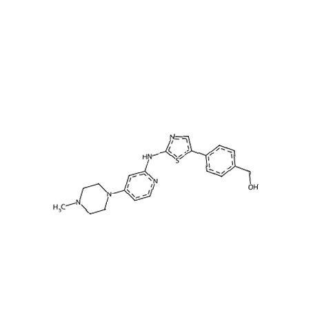 CN1CCN(c2ccnc(Nc3ncc(-c4ccc(CO)cc4)s3)c2)CC1